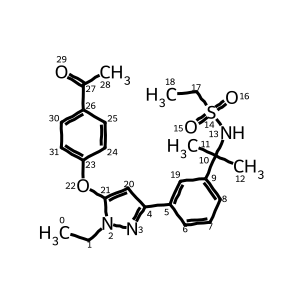 CCn1nc(-c2cccc(C(C)(C)NS(=O)(=O)CC)c2)cc1Oc1ccc(C(C)=O)cc1